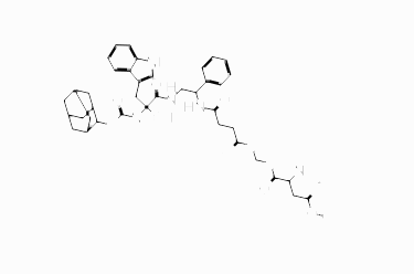 COC(=O)CC(N)C(=O)OCOC(=O)CCC(=O)NC(CNC(=O)C(C)(Cc1c[nH]c2ccccc12)NC(=O)OC1C2CC3CC(C2)CC1C3)c1ccccc1